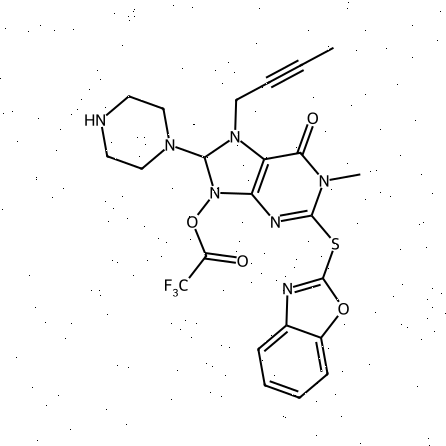 CC#CCN1c2c(nc(Sc3nc4ccccc4o3)n(C)c2=O)N(OC(=O)C(F)(F)F)C1N1CCNCC1